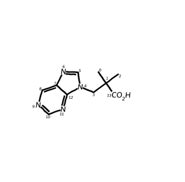 CC(C)(Cn1cnc2cncnc21)C(=O)O